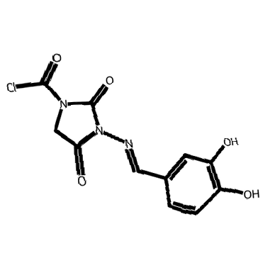 O=C(Cl)N1CC(=O)N(N=Cc2ccc(O)c(O)c2)C1=O